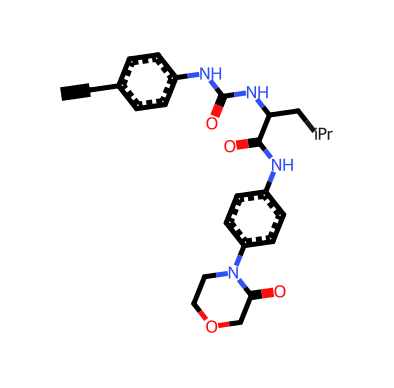 C#Cc1ccc(NC(=O)NC(CC(C)C)C(=O)Nc2ccc(N3CCOCC3=O)cc2)cc1